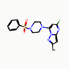 CC(C)(C)c1cc2nc(F)cc(N3CCN(S(=O)(=O)c4ccccc4)CC3)n2n1